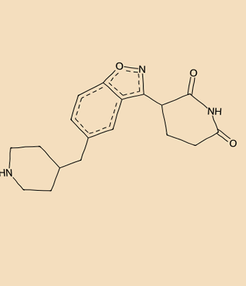 O=C1CCC(c2noc3ccc(CC4CCNCC4)cc23)C(=O)N1